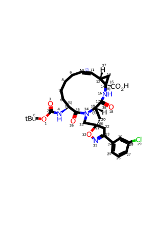 CC(C)(C)OC(=O)N[C@H]1CCCC/C=C\[C@@H]2C[C@@]2(C(=O)O)NC(=O)[C@@H]2C[C@@]3(CC(c4cccc(Cl)c4)=NO3)CN2C1=O